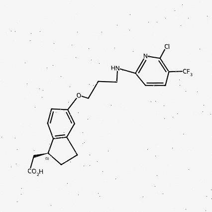 O=C(O)C[C@@H]1CCc2cc(OCCCNc3ccc(C(F)(F)F)c(Cl)n3)ccc21